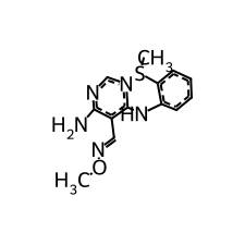 CON=Cc1c(N)ncnc1Nc1ccccc1SC